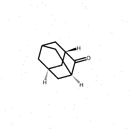 O=C1[C@H]2CC3C[C@@H](C2)C[C@H]1C3